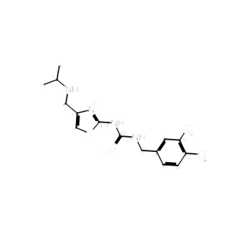 CC(C)NCc1csc(NC(=O)NCc2ccc(Cl)c(Cl)c2)n1